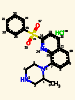 CC1CNCCN1c1cccc2ccc(S(=O)(=O)c3ccccc3)nc12.Cl